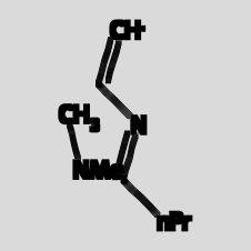 CNC.[CH]=CN=CCCC